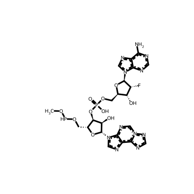 COPOC[C@H]1O[C@@H](n2cnc3c2ncn2ncnc32)[C@H](O)[C@@H]1OP(=O)(O)OC[C@H]1O[C@@H](n2cnc3c(N)ncnc32)[C@H](F)[C@@H]1O